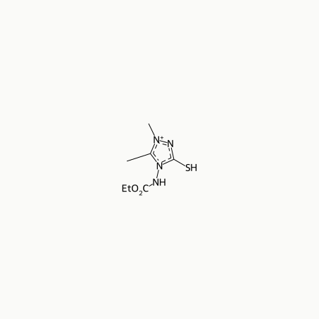 CCOC(=O)Nn1c(S)n[n+](C)c1C